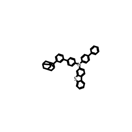 c1ccc(-c2ccc(N(c3ccc(-c4cccc(C5C6CC7CC(C6)CC5C7)c4)cc3)c3ccc4c(c3)sc3ccccc34)cc2)cc1